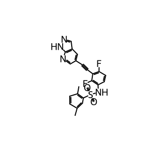 Cc1ccc(C)c(S(=O)(=O)Nc2ccc(F)c(C#Cc3cnc4[nH]ncc4c3)c2F)c1